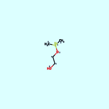 C[SH](C)OCCO